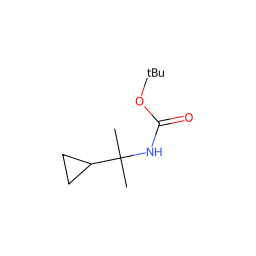 CC(C)(C)OC(=O)NC(C)(C)C1CC1